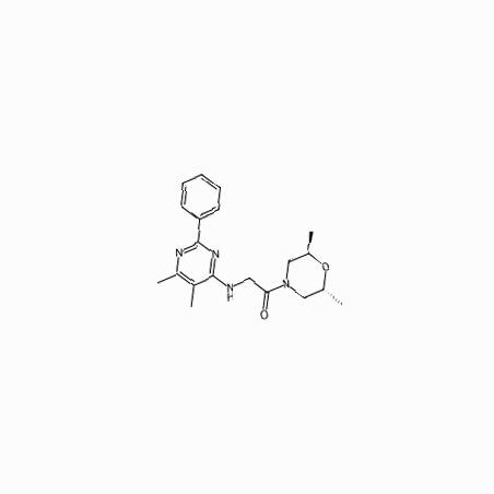 Cc1nc(-c2ccccc2)nc(NCC(=O)N2C[C@@H](C)O[C@H](C)C2)c1C